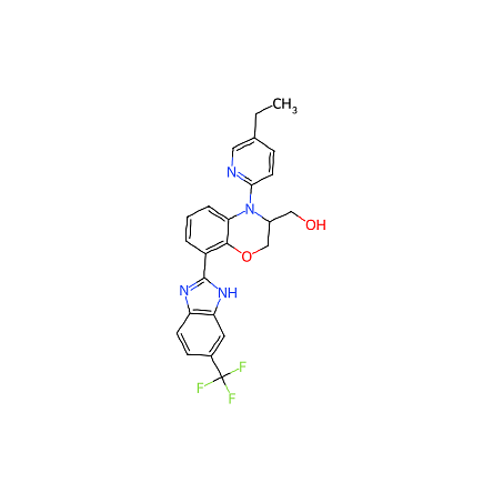 CCc1ccc(N2c3cccc(-c4nc5ccc(C(F)(F)F)cc5[nH]4)c3OCC2CO)nc1